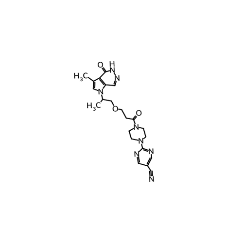 Cc1cn(C(C)COCCC(=O)N2CCN(c3ncc(C#N)cn3)CC2)c2cn[nH]c(=O)c12